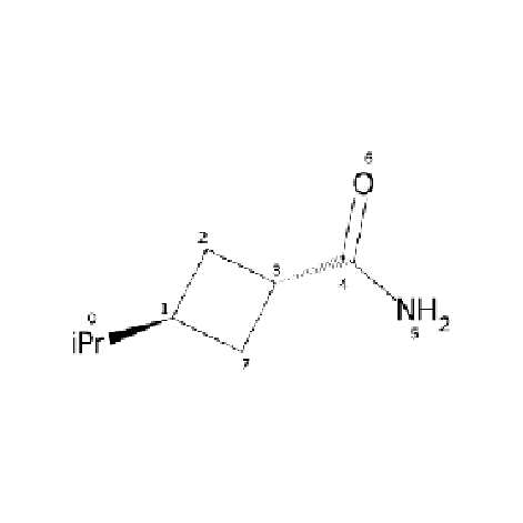 CC(C)[C@H]1C[C@H](C(N)=O)C1